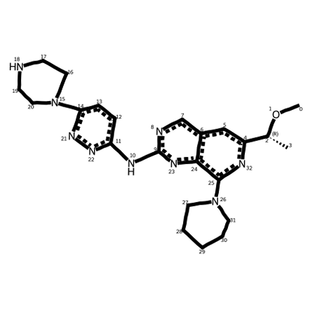 CO[C@H](C)c1cc2cnc(Nc3ccc(N4CCNCC4)nn3)nc2c(N2CCCCC2)n1